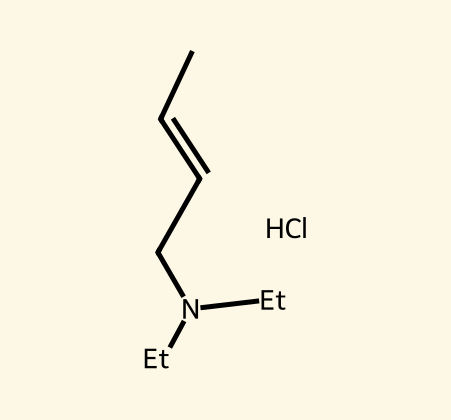 CC=CCN(CC)CC.Cl